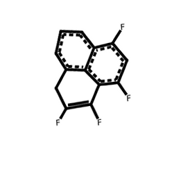 FC1=C(F)c2c(F)cc(F)c3cccc(c23)C1